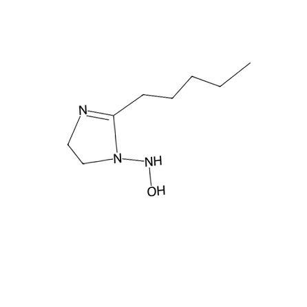 CCCCCC1=NCCN1NO